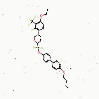 CCCCOc1ccc(-c2ccc(OC(F)(F)C3CCC(c4ccc(OCC)c(C(F)(F)F)c4F)CO3)cc2)cc1